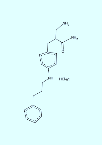 Cl.Cl.NCC(Cc1ccc(NCCCc2ccccc2)cc1)C(N)=O